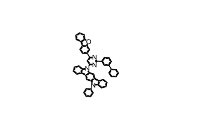 c1ccc(-c2cccc(-c3nc(-c4ccc5c(c4)oc4ccccc45)cc(-n4c5ccccc5c5cc6c(cc54)c4ccccc4n6-c4ccccc4)n3)c2)cc1